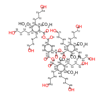 O=C(OC(=O)c1c(CCCCO)c(CCCCO)c(C(=O)O)c(CCCCO)c1C(=O)O)c1ccc(C(=O)OC(=O)c2c(CCCCO)c(CCCCO)c(C(=O)O)c(CCCCO)c2C(=O)O)c(C(=O)OC(=O)c2c(CCCCO)c(CCCCO)c(C(=O)O)c(CCCCO)c2C(=O)O)c1